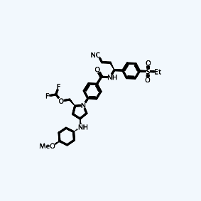 CCS(=O)(=O)c1ccc([C@H](CCC#N)NC(=O)c2ccc(N3C[C@@H](N[C@H]4CC[C@H](OC)CC4)C[C@H]3COC(F)F)cc2)cc1